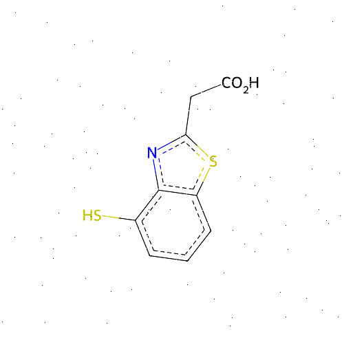 O=C(O)Cc1nc2c(S)cccc2s1